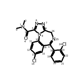 CN(C)C(=O)c1nnc2n1-c1ccc(Cl)cc1C(c1ccccc1Cl)=NC2